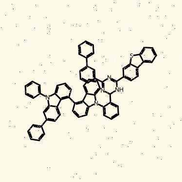 c1ccc(-c2cccc(C3=NC(c4ccccc4-n4c5ccccc5c5c(-c6cccc7c6c6ccc(-c8ccccc8)cc6n7-c6ccccc6)cccc54)NC(c4ccc5c(c4)sc4ccccc45)=N3)c2)cc1